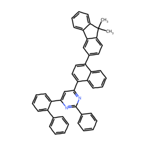 CC1(C)c2ccccc2-c2cc(-c3ccc(-c4cc(-c5ccccc5-c5ccccc5)nc(-c5ccccc5)n4)c4ccccc34)ccc21